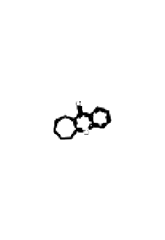 O=c1c2c(oc3ccccc13)CCCCC2